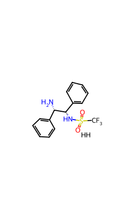 N[C@@H](c1ccccc1)[C@@H](NS(=O)(=O)C(F)(F)F)c1ccccc1.[HH]